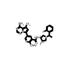 COc1ncc(-c2cc(C(F)(F)F)c3c(N)ncnn23)cc1C(=O)N[C@@H]1CN(C(C)c2ccccc2F)C[C@@H]1F